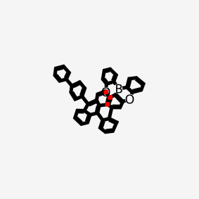 c1ccc(-c2ccc(-c3c4ccccc4c(-c4ccccc4-c4cc5c6c(c4)Oc4ccccc4B6c4ccccc4O5)c4ccccc34)cc2)cc1